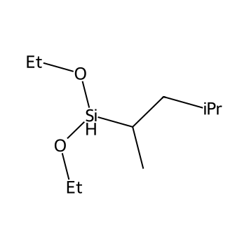 CCO[SiH](OCC)C(C)CC(C)C